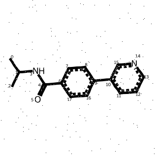 CC(C)NC(=O)c1ccc(-c2cccnc2)cc1